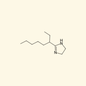 CCCCCC(CC)C1=NCCN1